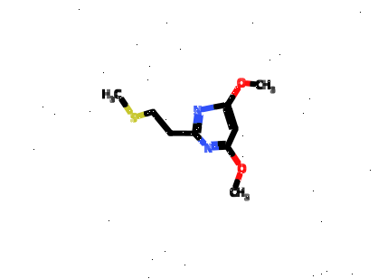 COc1cc(OC)nc(CCSC)n1